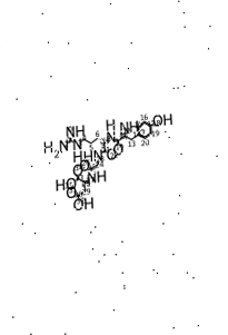 N=C(N)NCCC[C@H](NC(=O)[C@@H](N)Cc1ccc(O)cc1)C(=O)NCC(=O)N[C@@H](CC(=O)O)C(=O)O